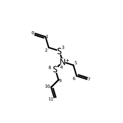 C=CCS[N+](CC=C)SCC=C